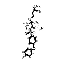 COC(=O)CCSC(C)(C)C(NS(=O)(=O)c1ccc(Oc2ccc(F)cc2)cc1)C(=O)O